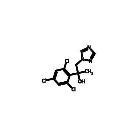 CC(O)(Cn1cncn1)c1c(Cl)cc(Cl)cc1Cl